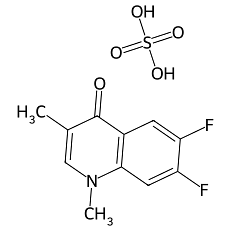 Cc1cn(C)c2cc(F)c(F)cc2c1=O.O=S(=O)(O)O